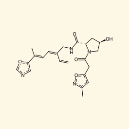 C=C/C(=C\C=C(/C)c1cnco1)CNC(=O)[C@@H]1C[C@@H](O)CN1C(=O)Cc1cc(C)no1